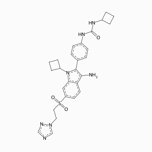 Nc1c(-c2ccc(NC(=O)NC3CCC3)cc2)n(C2CCC2)c2cc(S(=O)(=O)CCn3cncn3)ccc12